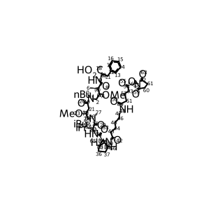 CCCCN(C[C@H](OC)[C@@H](C)C(=O)N[C@@H](Cc1ccccc1)C(=O)O)C(=O)C[C@@H](OC)[C@H]([C@@H](C)CC)N(C)C(=O)[C@@H](NC(=O)[C@@H]1[C@H]2CC[C@H](C2)N1C(=O)CCCCCNC(=O)CCCC(=O)ON1C(=O)CCC1=O)C(C)C